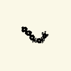 CC1CCC(C2CCC(C3CCC(C(F)(F)OC4CCC(C(F)(F)Oc5cc(F)c(F)c(F)c5)CC4)CC3)CC2)CC1